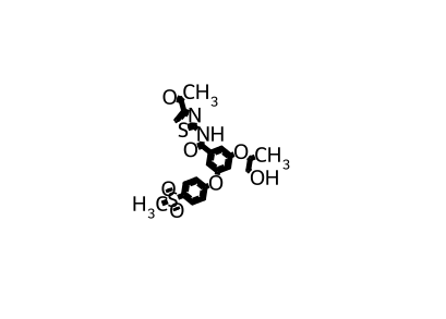 CC(=O)c1csc(NC(=O)c2cc(Oc3ccc(S(C)(=O)=O)cc3)cc(OC(C)CO)c2)n1